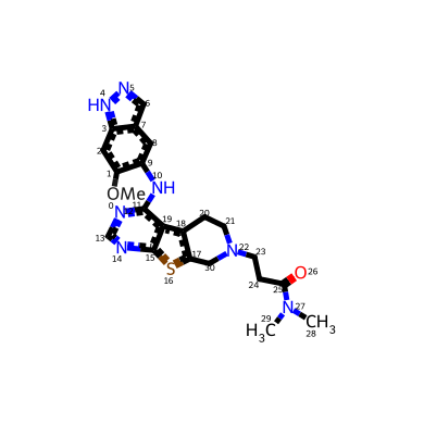 COc1cc2[nH]ncc2cc1Nc1ncnc2sc3c(c12)CCN(CCC(=O)N(C)C)C3